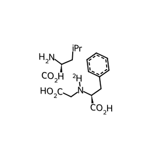 CC(C)C[C@H](N)C(=O)O.[2H]N(CC(=O)O)[C@@H](Cc1ccccc1)C(=O)O